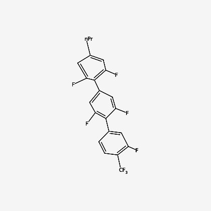 CCCc1cc(F)c(-c2cc(F)c(-c3ccc(C(F)(F)F)c(F)c3)c(F)c2)c(F)c1